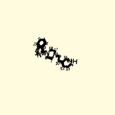 c1ccc2c(N3CCN(CCC4CCCNC4)CC3)nsc2c1